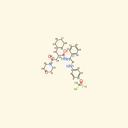 O=C(NC(CNc1ccc(OC(F)(F)F)cc1)c1ccccc1)C(CC(=O)N1CCOCC1)CC1CCCCC1